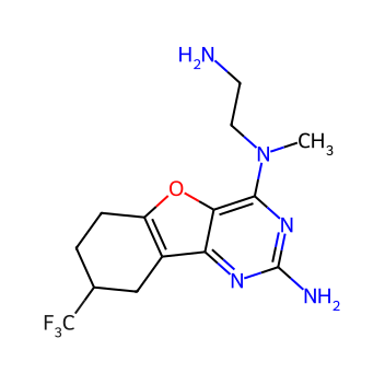 CN(CCN)c1nc(N)nc2c3c(oc12)CCC(C(F)(F)F)C3